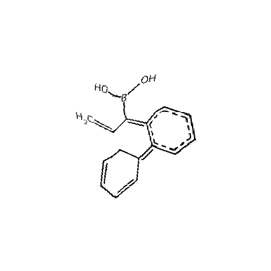 C=C/C(B(O)O)=c1/cccc/c1=C1\C=CC=CC1